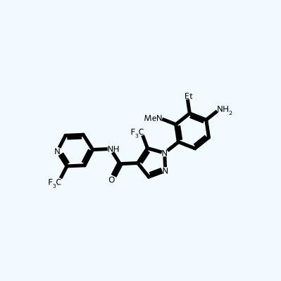 CCc1c(N)ccc(-n2ncc(C(=O)Nc3ccnc(C(F)(F)F)c3)c2C(F)(F)F)c1NC